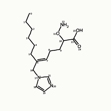 CCCCCCC(=CCCC(ON)C(=O)O)Cn1ccnc1